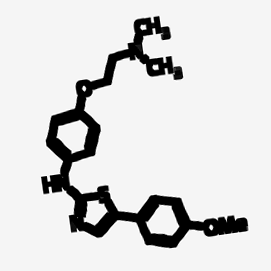 COc1ccc(-c2cnc(Nc3ccc(OCCN(C)C)cc3)s2)cc1